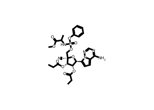 CCC(=O)O[C@H]1[C@H](c2ccc3c(N)ncnn23)O[C@](C#N)(COP(=O)(NC(C)C(=O)OC)Oc2ccccc2)[C@H]1OC(=O)CC